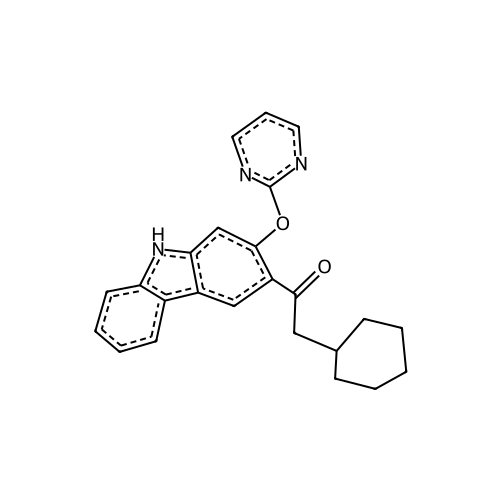 O=C(CC1CCCCC1)c1cc2c(cc1Oc1ncccn1)[nH]c1ccccc12